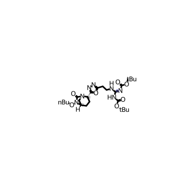 CCCCON1C(=O)N2C[C@@H]1CC[C@H]2c1nnc(CCN/C(=N\C(=O)OC(C)(C)C)NC(=O)OC(C)(C)C)o1